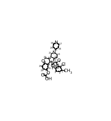 Cc1ccc(F)c(C(=O)[N+](C)(C2CCN(c3ccncc3)CC2)C2CCOc3ccc(OC(=O)O)cc32)c1Cl